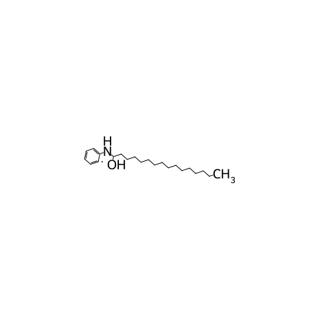 CCCCCCCCCCCCCCCC(O)Nc1[c]cccc1